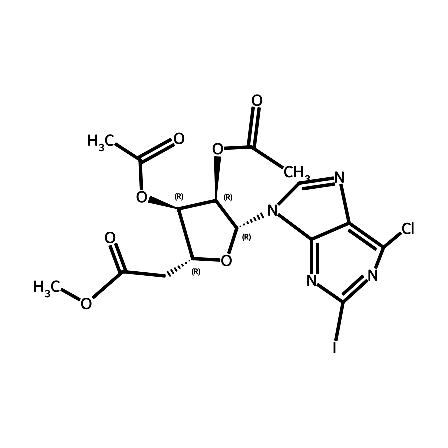 COC(=O)C[C@H]1O[C@@H](n2cnc3c(Cl)nc(I)nc32)[C@H](OC(C)=O)[C@@H]1OC(C)=O